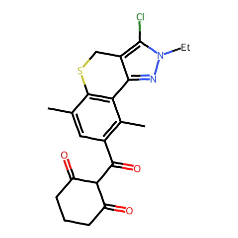 CCn1nc2c(c1Cl)CSc1c(C)cc(C(=O)C3C(=O)CCCC3=O)c(C)c1-2